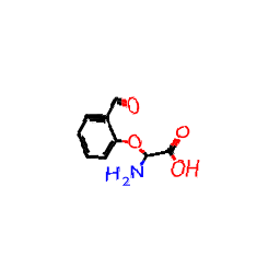 NC(Oc1ccccc1C=O)C(=O)O